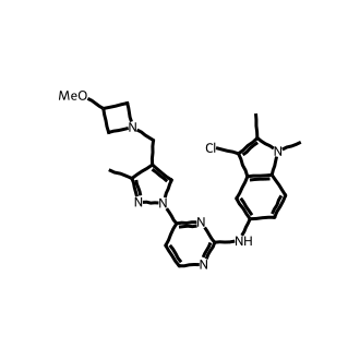 COC1CN(Cc2cn(-c3ccnc(Nc4ccc5c(c4)c(Cl)c(C)n5C)n3)nc2C)C1